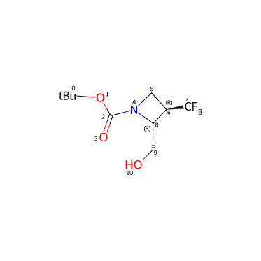 CC(C)(C)OC(=O)N1C[C@@H](C(F)(F)F)[C@@H]1CO